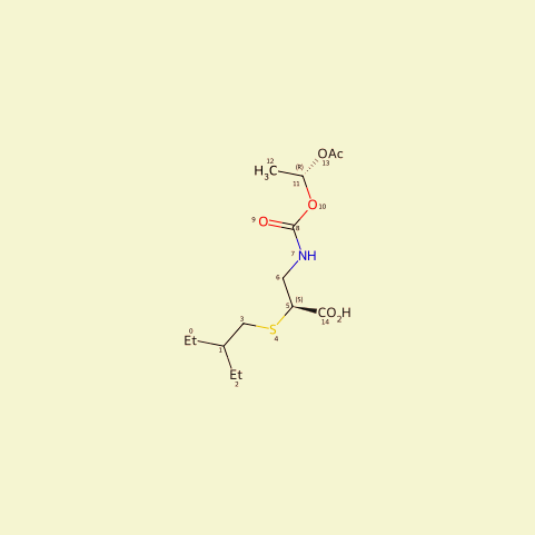 CCC(CC)CS[C@@H](CNC(=O)O[C@H](C)OC(C)=O)C(=O)O